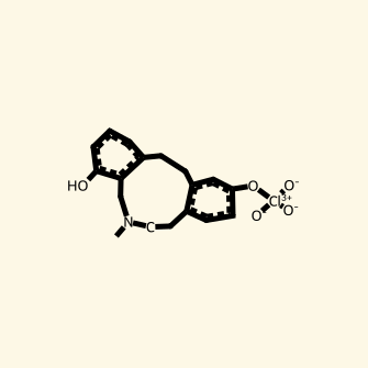 CN1CCc2ccc(O[Cl+3]([O-])([O-])[O-])cc2CCc2cccc(O)c2C1